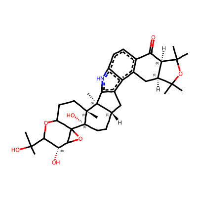 CC(C)(O)C1OC2CC[C@]3(C)[C@@]4(C)c5[nH]c6ccc7c(c6c5C[C@@H]4CC[C@@]3(O)C23OC3[C@@H]1O)C[C@H]1[C@@H](C7=O)C(C)(C)OC1(C)C